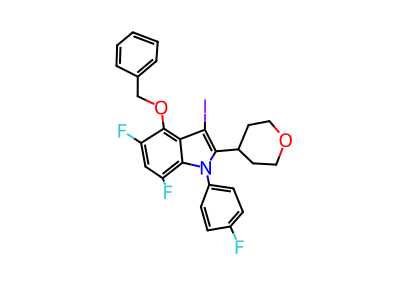 Fc1ccc(-n2c(C3CCOCC3)c(I)c3c(OCc4ccccc4)c(F)cc(F)c32)cc1